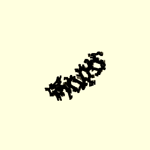 CSc1ncc(F)c(-c2ccc(-c3ncc(N(C)[C@@H]4C[C@H]5CCC[C@@H](C4)N5)nn3)c(O)c2)n1